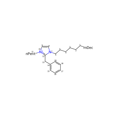 CCCCCCCCCCCCCCCCn1cc[n+](CCCCC)c1Cc1ccccc1